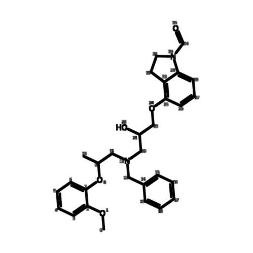 COc1ccccc1OC(C)CN(Cc1ccccc1)CC(O)COc1cccc2c1CCN2C=O